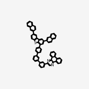 c1cc(-c2ccc(-c3cc(-c4ccc5ccccc5c4)cc4c3sc3ccc(-c5ccc6ccccc6c5)cc34)cc2)cc(-c2cccc(-c3cnc4c5ccccc5c5ccccc5c4n3)c2)c1